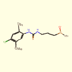 CCC[S+]([O-])CCCNC(=S)Nc1cc(OC)c(Cl)cc1OC